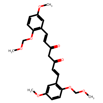 COCOc1ccc(OC)cc1/C=C/C(=O)CC(=O)/C=C/c1cc(OC)ccc1OCOC